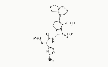 CO/N=C(\C(=O)N[C@H]1C(=O)N2C(C(=O)O)=C([n+]3cccc4c3CCC4)CCC12)c1csc(N)n1.[OH-]